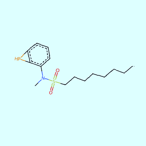 [CH2]CCCCCCCS(=O)(=O)N(C)c1cccc2c1P2